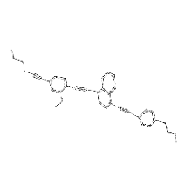 CCCCC#Cc1ccc(C#Cc2ccc(C#Cc3ccc(CCCC)cc3)c3ccccc23)c(CC)c1